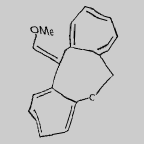 COC=C1c2ccccc2CCc2ccccc21